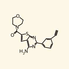 C#Cc1cccc(-c2nc(N)c3cc(C(=O)N4CCOCC4)sc3n2)c1